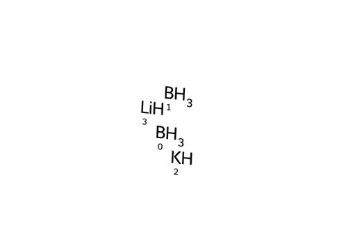 B.B.[KH].[LiH]